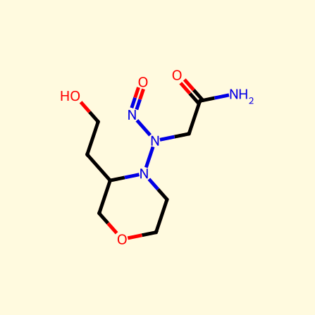 NC(=O)CN(N=O)N1CCOCC1CCO